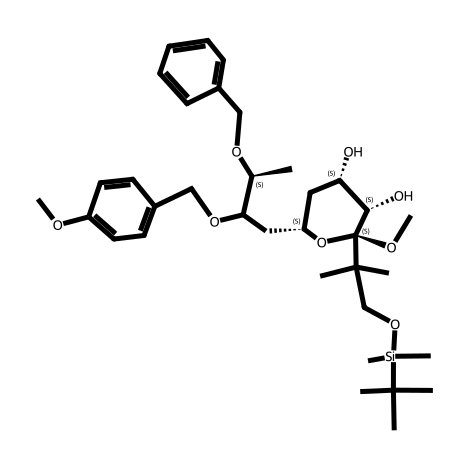 COc1ccc(COC(C[C@@H]2C[C@H](O)[C@H](O)[C@](OC)(C(C)(C)CO[Si](C)(C)C(C)(C)C)O2)[C@H](C)OCc2ccccc2)cc1